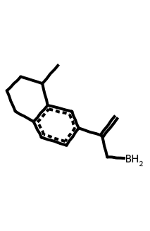 BCC(=C)c1ccc2c(c1)C(C)CCC2